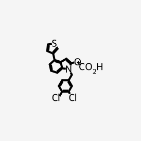 O=C(O)Oc1cc2c(-c3ccsc3)cccc2n1Cc1ccc(Cl)c(Cl)c1